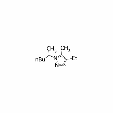 CCCCC(C)n1n[c]c(CC)c1C